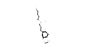 ICCCCNCCCc1ccc2c(c1)OCCO2